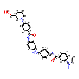 O=C(Nc1ccc(Nc2ccc(NC(=O)c3ccc4cc[nH]c4c3)cc2)cc1)c1ccc(N2CCCC(CO)C2)cc1